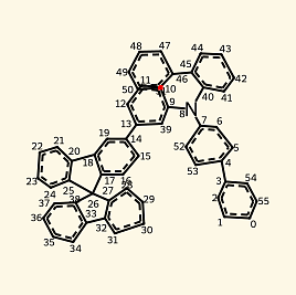 c1ccc(-c2ccc(N(c3cccc(-c4ccc5c(c4)-c4ccccc4C54c5ccccc5-c5ccccc54)c3)c3ccccc3-c3ccccc3)cc2)cc1